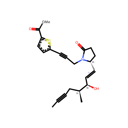 CC#CC[C@H](C)[C@H](O)/C=C/[C@H]1CCC(=O)N1CC#Cc1ccc(C(=O)OC)s1